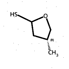 C[C@H]1COC(S)C1